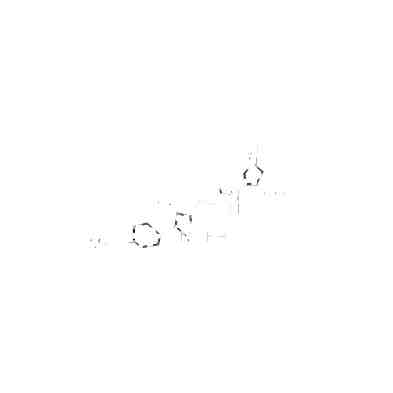 CCn1cc(NC(=O)CCc2onc(-c3ccc(OC)cc3)c2Cl)c(C(=O)O)c1.[KH]